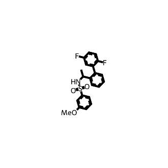 COc1cccc(S(=O)(=O)NC(C)c2ccccc2-c2cc(F)ccc2F)c1